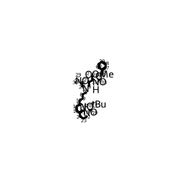 COC(=O)C(CCN(CCCCc1ccc2c(n1)N(C(=O)OC(C)(C)C)CCC2)CC(=O)N(C)C)NC(=O)OCc1ccccc1